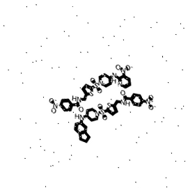 O=C(NCc1ccc(S(=O)(=O)N2CCC(Nc3ccc4c(c3)CCC4)CC2)s1)c1ccc([N+](=O)[O-])cc1.O=C(NCc1ccc(S(=O)(=O)N2CCC(Nc3ncccc3[N+](=O)[O-])CC2)s1)c1ccc([N+](=O)[O-])cc1